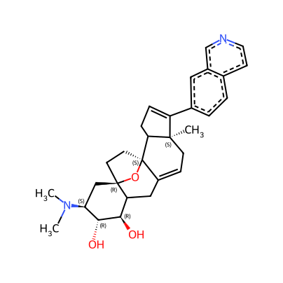 CN(C)[C@H]1C[C@@]23CC[C@@]4(O2)C(=CC[C@]2(C)C(c5ccc6ccncc6c5)=CCC24)CC3[C@@H](O)[C@@H]1O